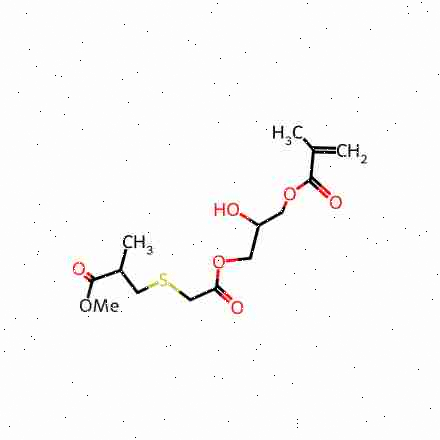 C=C(C)C(=O)OCC(O)COC(=O)CSCC(C)C(=O)OC